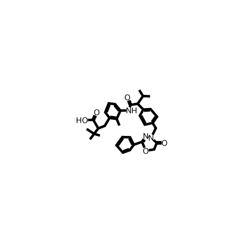 Cc1c(CC(C(=O)O)C(C)(C)C)cccc1NC(=O)C(c1ccc(CN2N=C(c3ccccc3)OCC2=O)cc1)C(C)C